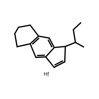 CCC(C)C1C=Cc2cc3c(cc21)CCCC3.[Hf]